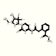 COC(=O)c1ccccc1CC(=O)Nc1ccn([C@@H]2O[C@H](CO)[C@@H](O)C2(F)F)c(=O)n1